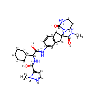 CNC(=O)C1(N2CCCNC2=O)Cc2ccc(NC(=O)[C@@H](NC(=O)c3ccnn3C)C3CCCCC3)cc2C1